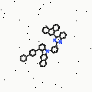 c1ccc(-c2ccc(-c3cccc4c3c3cc5ccccc5cc3n4-c3cccc(-c4nc(-c5cc6ccccc6c6ccccc56)c5ccccc5n4)c3)cc2)cc1